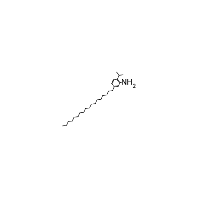 CCCCCCCCCCCCCCCCCCc1ccc(C(C)C)c(N)c1